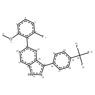 COc1cccc(F)c1-c1ncc2[nH]nc(-c3ccc(C(F)(F)F)cc3)c2n1